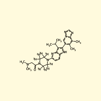 [2H]C1([2H])N(C(=O)CN(C)C)C([2H])([2H])C([2H])([2H])N(c2ccc3[nH]c(-c4cn5ncnc5c(C)c4C)c(C(C)C)c3n2)C1([2H])[2H]